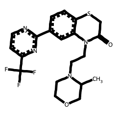 CC1COCCN1CCN1C(=O)CSc2ccc(-c3nccc(C(F)(F)F)n3)cc21